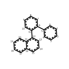 [c]1ccccc1-c1ccccc1-c1[c]ccc2ccccc12